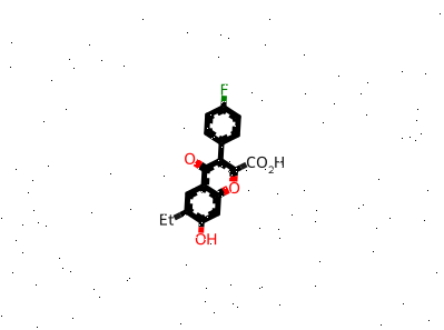 CCc1cc2c(=O)c(-c3ccc(F)cc3)c(C(=O)O)oc2cc1O